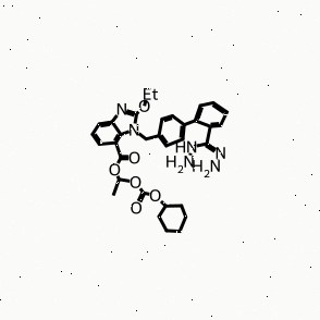 CCOc1nc2cccc(C(=O)OC(C)OC(=O)OC3CCCCC3)c2n1Cc1ccc(-c2ccccc2/C(=N/N)NN)cc1